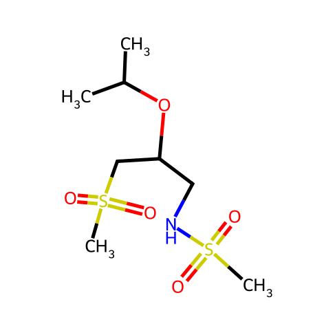 CC(C)OC(CNS(C)(=O)=O)CS(C)(=O)=O